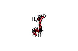 Cn1nc(C2CCC(=O)NC2=O)c2ccc(C3CCN(CC4(F)CCN(c5ncc(Cl)c(Nc6ccc7c(c6)c6c(c(=O)n7C)OCC(F)(F)C(C7CC7)N6)n5)CC4)CC3)cc21